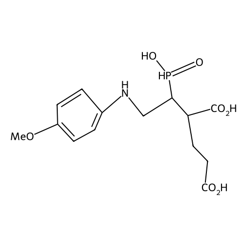 COc1ccc(NCC(C(CCC(=O)O)C(=O)O)[PH](=O)O)cc1